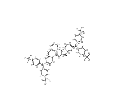 CC(C)(C)c1ccc(N(c2ccc(C(C)(C)C)cc2)c2ccc3c(c2)Sc2cccc4c2c-3cc2sc3cc(N(c5ccc(C(C)(C)C)cc5)c5ccc(C(C)(C)C)cc5)ccc3c24)cc1